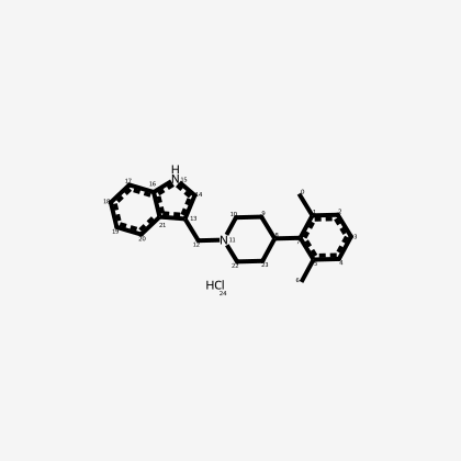 Cc1cccc(C)c1C1CCN(Cc2c[nH]c3ccccc23)CC1.Cl